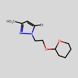 CCc1cc(C(=O)O)nn1CCOC1CCCCO1